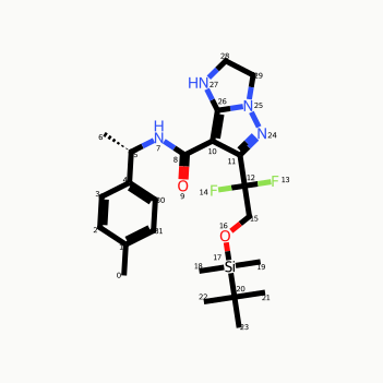 Cc1ccc([C@H](C)NC(=O)c2c(C(F)(F)CO[Si](C)(C)C(C)(C)C)nn3c2NCC3)cc1